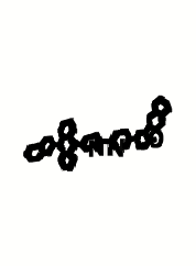 C1=c2ccccc2=CC2c3cc(-c4ccc(-c5ccc(-c6c7ccccc7c(-c7ccc8ccccc8c7)c7ccccc67)cn5)nc4)ccc3OC12